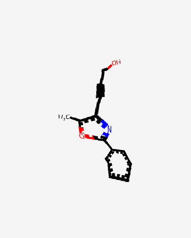 Cc1oc(-c2ccccc2)nc1C#CCO